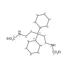 CCOC(=O)NCCS(CCNC(=O)OCC)(C1CCCCC1)C1CCCCC1